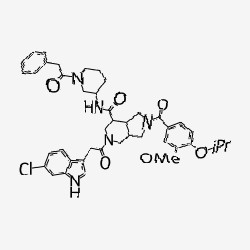 COc1cc(C(=O)N2CC3CN(C(=O)Cc4c[nH]c5cc(Cl)ccc45)CC(C(=O)NC4CCCN(C(=O)Cc5ccccc5)C4)C3C2)ccc1OC(C)C